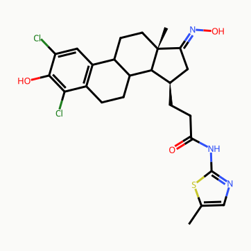 Cc1cnc(NC(=O)CC[C@@H]2CC(=NO)[C@@]3(C)CCC4c5cc(Cl)c(O)c(Cl)c5CCC4C23)s1